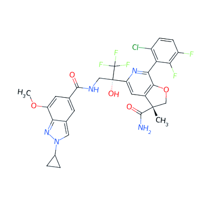 COc1cc(C(=O)NC[C@](O)(c2cc3c(c(-c4c(Cl)ccc(F)c4F)n2)OC[C@]3(C)C(N)=O)C(F)(F)F)cc2cn(C3CC3)nc12